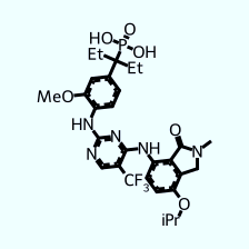 CCC(CC)(c1ccc(Nc2ncc(C(F)(F)F)c(Nc3ccc(OC(C)C)c4c3C(=O)N(C)C4)n2)c(OC)c1)P(=O)(O)O